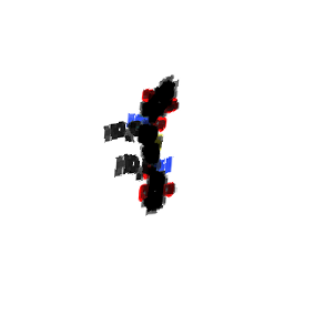 O=C(Nc1cc2sc3cc(NC(=O)c4ccc5c(c4)C(=O)c4ccccc4C5=O)c(C(=O)O)cc3c2cc1C(=O)O)c1ccc2c(c1)C(=O)c1ccccc1C2=O